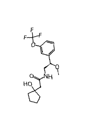 CO[C@@H](CNC(=O)CC1(O)CCCC1)c1cccc(OC(F)(F)F)c1